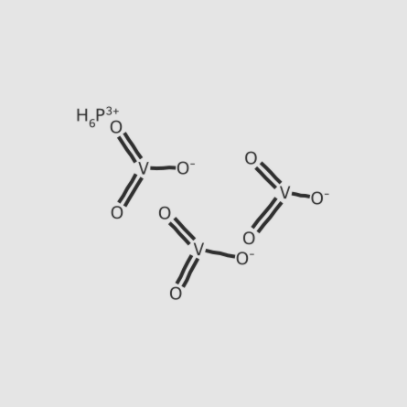 [O]=[V](=[O])[O-].[O]=[V](=[O])[O-].[O]=[V](=[O])[O-].[PH6+3]